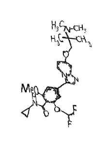 COc1cc(-c2cnc3cc(OCC(C)(C)N(C)C)ccn23)cc(OC(F)F)c1C(=O)NC1CC1